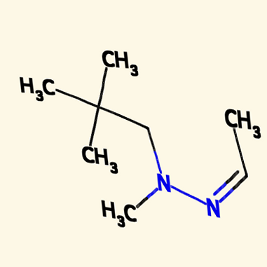 C/C=N\N(C)CC(C)(C)C